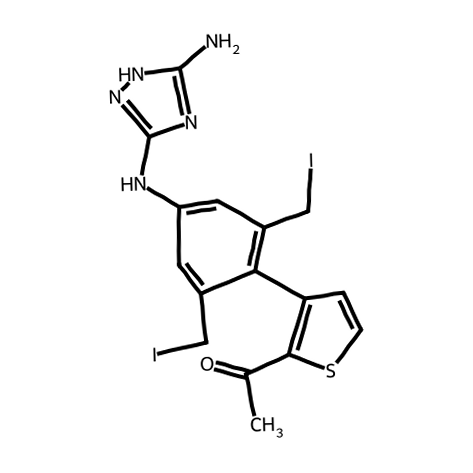 CC(=O)c1sccc1-c1c(CI)cc(Nc2n[nH]c(N)n2)cc1CI